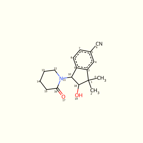 CC1(C)c2cc(C#N)ccc2C(N2CCCCC2=O)C1O